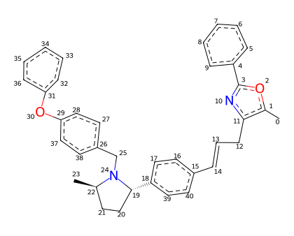 Cc1oc(-c2ccccc2)nc1C/C=C/c1ccc([C@@H]2CC[C@@H](C)N2Cc2ccc(Oc3ccccc3)cc2)cc1